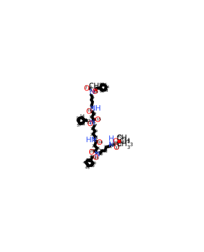 CC(=O)N(CCCCCNC(=O)CCC(=O)N(CCCCCNC(=O)CCC(=O)N(CCCCCNC(=O)OC(C)(C)C)OCc1ccccc1)OCc1ccccc1)OCc1ccccc1